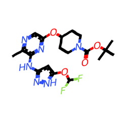 Cc1ncc(OC2CCN(C(=O)OC(C)(C)C)CC2)nc1Nc1cc(OC(F)F)[nH]n1